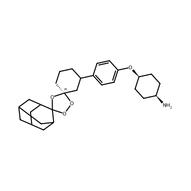 N[C@H]1CC[C@@H](Oc2ccc(C3CCC[C@]4(C3)OOC3(O4)C4CC5CC(C4)CC3C5)cc2)CC1